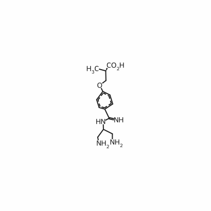 C[C@H](COc1ccc(C(=N)NC(CN)CN)cc1)C(=O)O